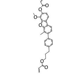 C=CC(=O)OCCCc1ccc(-c2ccc3c(oc4c(OC)c(OC(=O)C=C)ccc43)c2C)cc1